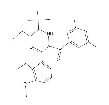 CCCC(NN(C(=O)c1cc(C)cc(C)c1)C(=O)c1cccc(OC)c1CC)C(C)(C)C